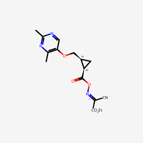 CCOC(=O)/C(C#N)=N/OC(=O)[C@@H]1C[C@@H]1COc1cnc(C)nc1C